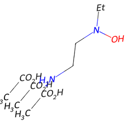 CC(=O)O.CC(=O)O.CC(=O)O.CCN(O)CCN